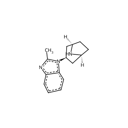 Cc1nc2ccccc2n1[C@H]1C[C@H]2CC[C@@H](C1)N2